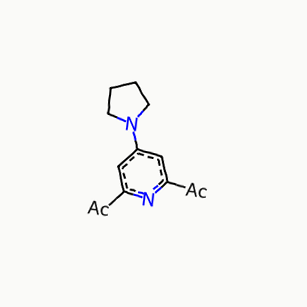 CC(=O)c1cc(N2CCCC2)cc(C(C)=O)n1